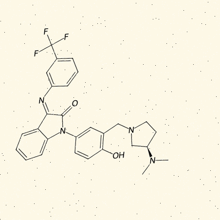 CN(C)[C@@H]1CCN(Cc2cc(N3C(=O)C(=Nc4cccc(C(F)(F)F)c4)c4ccccc43)ccc2O)C1